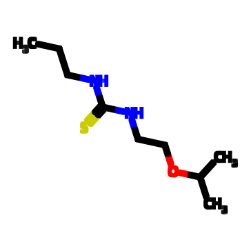 CCCNC(=S)NCCOC(C)C